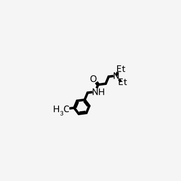 CCN(CC)CCC(=O)NCc1cccc(C)c1